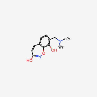 CCCN(CCC)Cc1ccc2c(c1O)ON=C(O)C=C2